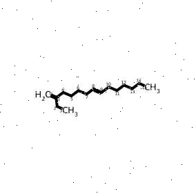 C=C(CC)CCCCC=CCCCCCC